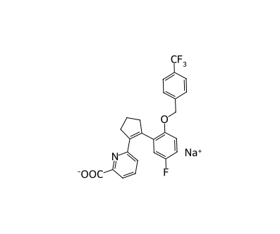 O=C([O-])c1cccc(C2=C(c3cc(F)ccc3OCc3ccc(C(F)(F)F)cc3)CCC2)n1.[Na+]